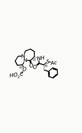 CC(=O)S[C@H](Cc1ccccc1)C(=O)N[C@H]1CCCN2CCC[C@H](OC(=O)O)N2C1=O